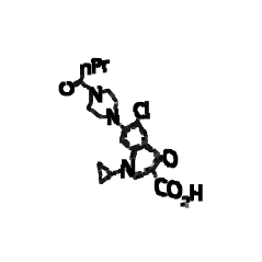 CCCC(=O)N1CCN(c2cc3c(cc2Cl)c(=O)c(C(=O)O)cn3C2CC2)CC1